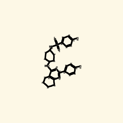 O=S(=O)(NC1CCC(Nc2nc(-c3ccc(Cl)cc3)nc3c2CCCC3)CC1)c1ccc(Cl)cc1